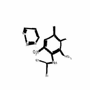 CCC(CC)Nc1c([N+](=O)[O-])cc(C)c(C)c1[N+](=O)[O-].c1cnnnc1